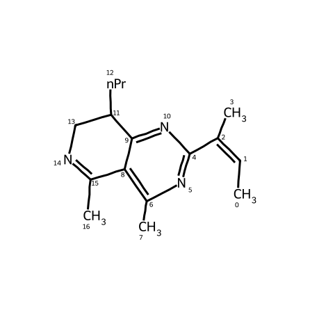 C/C=C(/C)c1nc(C)c2c(n1)C(CCC)CN=C2C